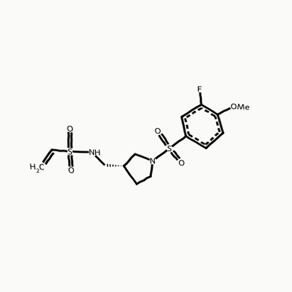 C=CS(=O)(=O)NC[C@H]1CCN(S(=O)(=O)c2ccc(OC)c(F)c2)C1